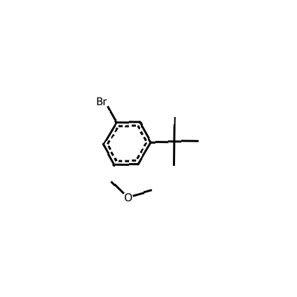 CC(C)(C)c1cccc(Br)c1.COC